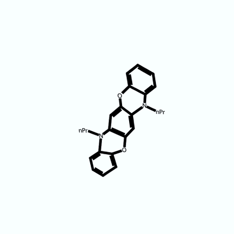 CCCn1c2ccccc2oc2cc3c(cc21)oc1ccccc1n3CCC